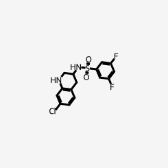 O=S(=O)(NC1CNc2cc(Cl)ccc2C1)c1cc(F)cc(F)c1